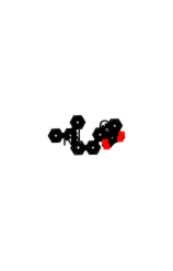 C1=CC(c2nc(-c3ccccc3)cc(-c3ccccc3)n2)CC(c2cccc(-c3ccc4c(c3)C3(c5ccccc5O4)c4ccccc4-c4ccccc43)c2)=C1